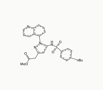 CCCCc1ccc(S(=O)(=O)Nc2cc(CC(=O)OC)nn2-c2cccc3ncccc23)cc1